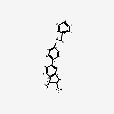 OC1Cc2cc(-c3ccc(OCc4ccccc4)cc3)ccc2C1O